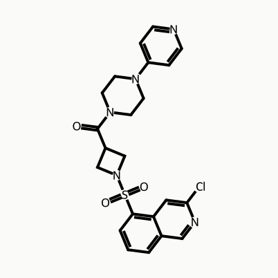 O=C(C1CN(S(=O)(=O)c2cccc3cnc(Cl)cc23)C1)N1CCN(c2ccncc2)CC1